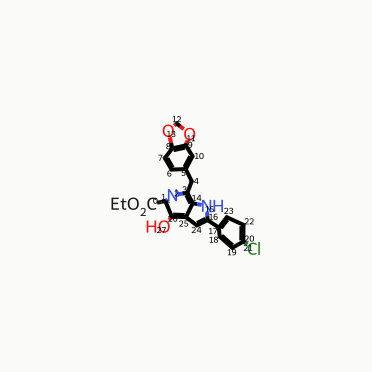 CCOC(=O)c1nc(Cc2ccc3c(c2)OCO3)c2[nH]c(-c3ccc(Cl)cc3)cc2c1O